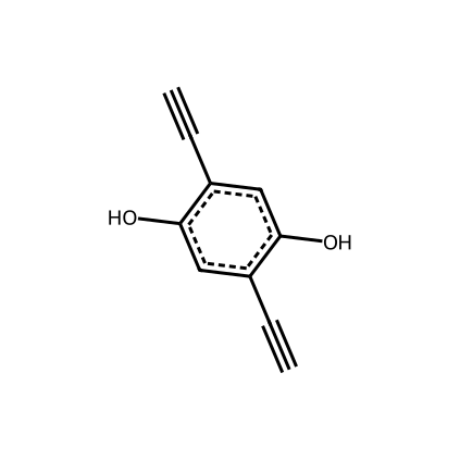 C#Cc1cc(O)c(C#C)cc1O